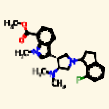 COC(=O)c1cccc2c([C@@H]3CN(C4CCc5cccc(F)c54)C[C@H]3N(C)C)cn(C)c12